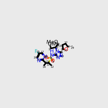 COCC(COC)n1c(NS(=O)(=O)C(C)C(C)c2ncc(F)cn2)nnc1[C@@H]1CC[C@H](C)O1